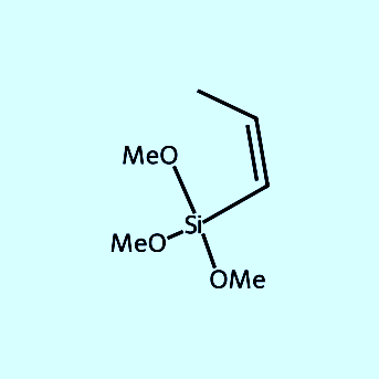 C/C=C\[Si](OC)(OC)OC